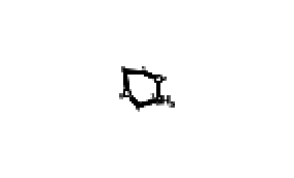 C1CO[SiH2]CO1